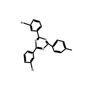 Cc1ccc(-c2nc(-c3cccc(Br)c3)nc(-c3cccc(Br)c3)n2)cc1